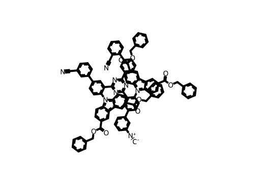 [C-]#[N+]c1cccc(-c2ccc(-n3c4ccc(C(=O)OCc5ccccc5)cc4c4cc(C(=O)OCc5ccccc5)ccc43)c(-c3nc(-c4cccc(-c5ccccc5C#N)c4)nc(-c4cc(-c5cccc(C#N)c5)ccc4-n4c5ccc(C(=O)OCc6ccccc6)cc5c5cc(C(=O)OCc6ccccc6)ccc54)n3)c2)c1